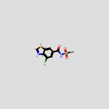 CCCS(=O)(=O)NC(=O)c1cc(F)c2ncsc2c1